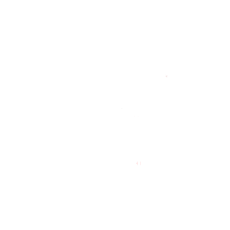 OCCOC1(OCCO)c2cc(Br)ccc2-c2ccc(Br)c(-c3ccccc3)c21